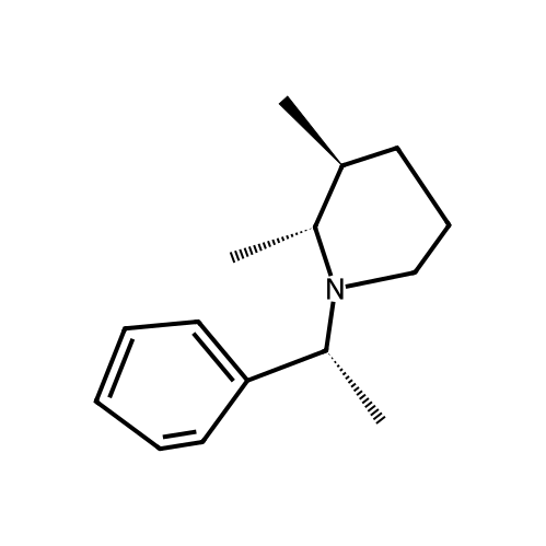 C[C@H](c1ccccc1)N1CCC[C@H](C)[C@H]1C